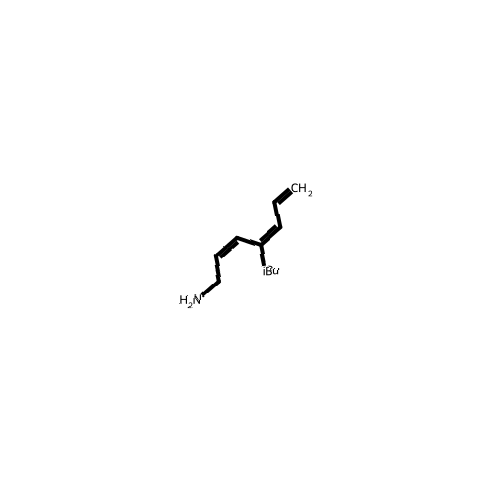 C=C/C=C(\C=C/CN)C(C)CC